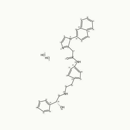 Cl.Cl.O=C(Cc1nccn1-c1ccc2ccccc2c1)Nc1ccc(CCNC[C@H](O)c2ccccc2)cc1